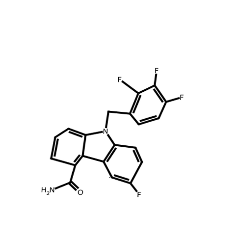 NC(=O)c1cccc2c1c1[c]c(F)ccc1n2Cc1ccc(F)c(F)c1F